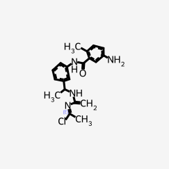 C=C(/N=C(\C)Cl)NC(C)c1cccc(NC(=O)c2cc(N)ccc2C)c1